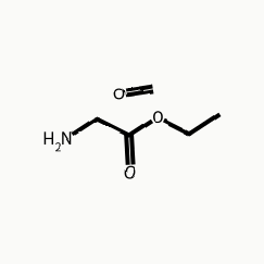 C=O.CCOC(=O)CN